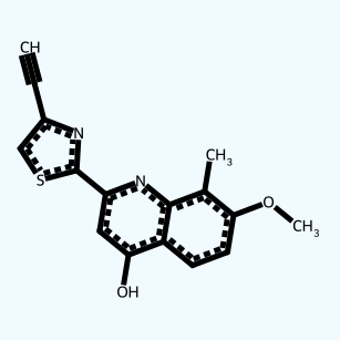 C#Cc1csc(-c2cc(O)c3ccc(OC)c(C)c3n2)n1